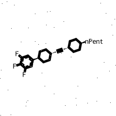 CCCCC[C@H]1CC[C@H](C#C[C@H]2CC[C@H](c3cc(F)c(F)c(F)c3)CC2)CC1